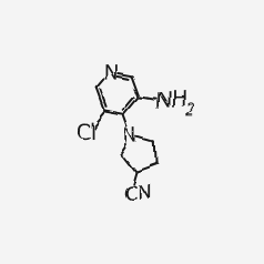 N#CC1CCN(c2c(N)cncc2Cl)C1